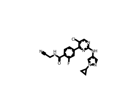 N#CCNC(=O)c1ccc(-c2nc(Nc3cnn(C4CC4)c3)ncc2Cl)cc1F